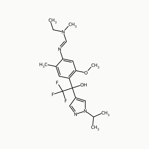 CCN(C)/C=N/c1cc(OC)c(C(O)(c2cnn(C(C)C)c2)C(F)(F)F)cc1C